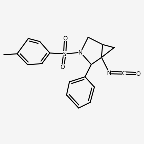 Cc1ccc(S(=O)(=O)N2CC3CC3(N=C=O)C2c2ccccc2)cc1